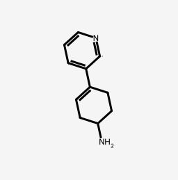 NC1CC=C(c2[c]nccc2)CC1